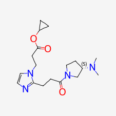 CN(C)[C@H]1CCN(C(=O)CCc2nccn2CCC(=O)OC2CC2)C1